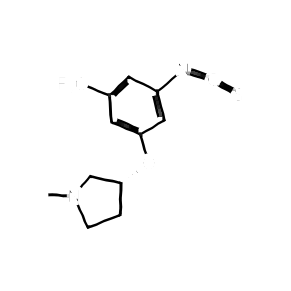 CN1CC[C@@H](Oc2cc(N=C=S)cc(C(F)(F)F)c2)C1